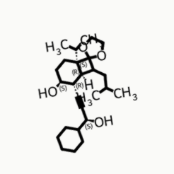 CC(C)CC1[C@H]2[C@H](C#C[C@@H](O)C3CCCCC3)[C@@H](O)CC[C@@]2(C(C)C)C12OCCO2